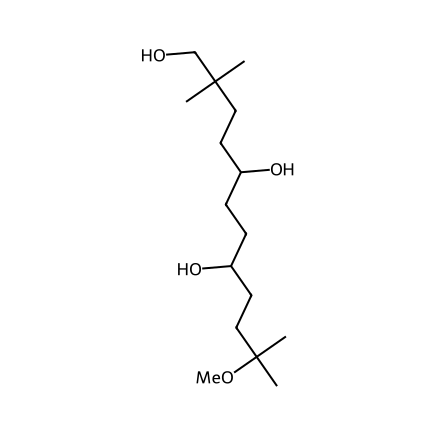 COC(C)(C)CCC(O)CCC(O)CCC(C)(C)CO